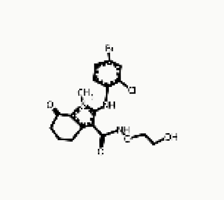 Cn1c(Nc2ccc(Br)cc2Cl)c(C(=O)NOCCO)c2c1C(=O)CCC2